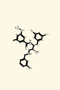 CCc1cccc(CNC[C@H](O)[C@H](Cc2cc(F)cc(F)c2)NC(=O)c2cc(C)cc(OC(F)(F)F)c2)c1